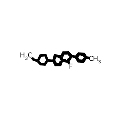 CCC1CCC(c2ccc3c(F)c(-c4ccc(C)cc4)ccc3c2)CC1